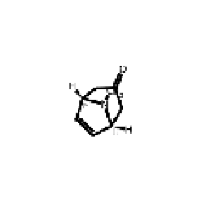 CN1[C@@H]2C=C[C@H]1CC(=O)C2